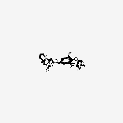 Cn1cc(Oc2c(F)cc(COc3cc4n(c(=O)n3)CC3(C)CCCN43)cc2F)cn1